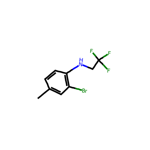 Cc1ccc(NCC(F)(F)F)c(Br)c1